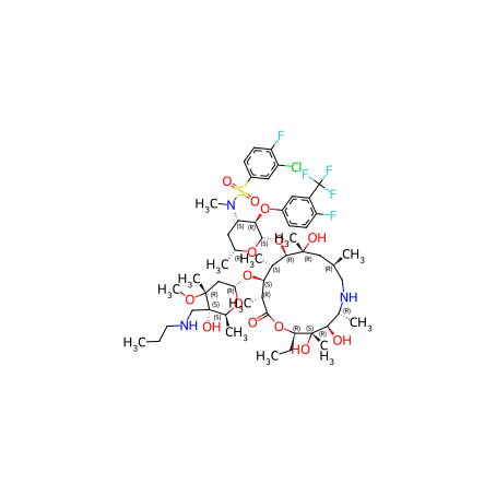 CCCNC[C@]1(O)[C@H](C)O[C@@H](O[C@H]2[C@H](C)[C@@H](O[C@@H]3O[C@H](C)C[C@H](N(C)S(=O)(=O)c4ccc(F)c(Cl)c4)[C@H]3Oc3ccc(F)c(C(F)(F)F)c3)[C@](C)(O)C[C@@H](C)CN[C@H](C)[C@@H](O)[C@](C)(O)[C@@H](CC)OC(=O)[C@@H]2C)C[C@@]1(C)OC